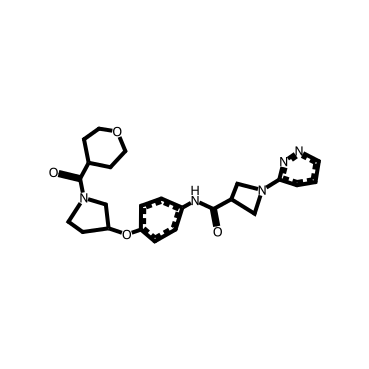 O=C(Nc1ccc(OC2CCN(C(=O)C3CCOCC3)C2)cc1)C1CN(c2cccnn2)C1